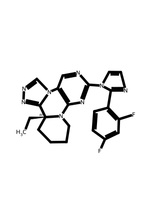 CC[C@]12CCCCN1c1nc(-n3ccnc3-c3ccc(F)cc3F)ncc1-n1cnnc12